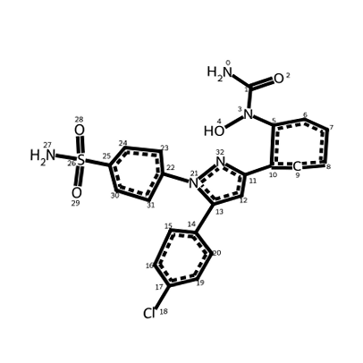 NC(=O)N(O)c1ccccc1-c1cc(-c2ccc(Cl)cc2)n(-c2ccc(S(N)(=O)=O)cc2)n1